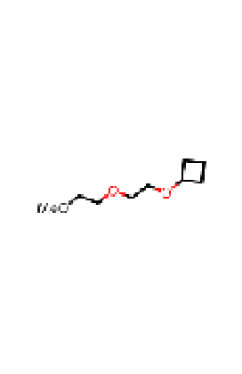 COCCOCCOC1CCC1